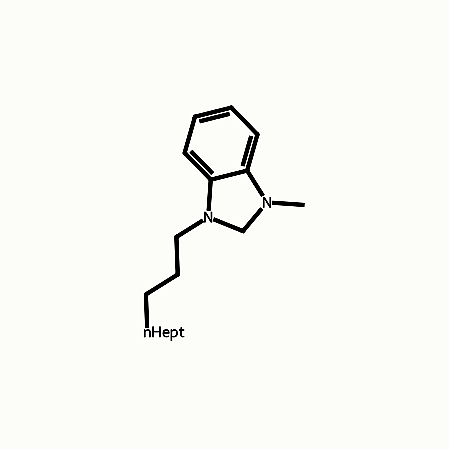 CCCCCCCCCCN1CN(C)c2ccccc21